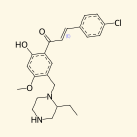 CCC1CNCCN1Cc1cc(C(=O)/C=C/c2ccc(Cl)cc2)c(O)cc1OC